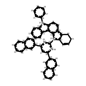 C1=Cc2c(c3ccc4c(c5ccccc5n4-c4ccccc4)c3n2-c2nc(-c3ccc4ccccc4c3)cc(-c3ccc4ccccc4c3)n2)CC1